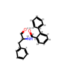 O=CC(Cc1ccccc1)NC(=O)c1ccccc1-c1ccccc1